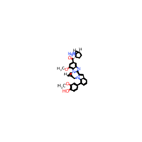 COc1cc(-c2cccc3cc(-c4nc5cc(C(=O)[C@]67CC[C@H](CN6)[C@H]7N)cc(OC)c5n4C)n(CC4CC4)c23)ccc1O